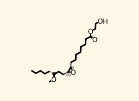 CCCCC[C@H](CC[C@@H]1O[C@@H]1CCCCCCCC(=O)OCCO)OC